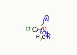 Cc1nccn1-c1nc(-c2ccc(Cl)cc2)c(CCCn2cccn2)o1